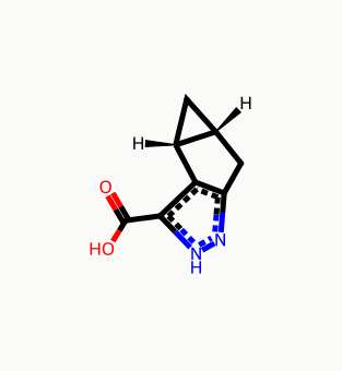 O=C(O)c1[nH]nc2c1[C@@H]1C[C@@H]1C2